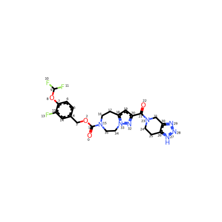 O=C(OCc1ccc(OC(F)F)c(F)c1)N1CCc2cc(C(=O)N3CCc4[nH]nnc4C3)nn2CC1